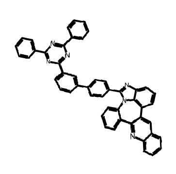 c1ccc(-c2nc(-c3ccccc3)nc(-c3cccc(-c4ccc(-c5nc6cccc7c6n5-c5ccccc5-c5nc6ccccc6cc5-7)cc4)c3)n2)cc1